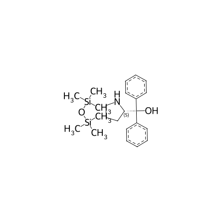 C[Si](C)(C)O[Si](C)(C)C.OC(c1ccccc1)(c1ccccc1)[C@@H]1CCCN1